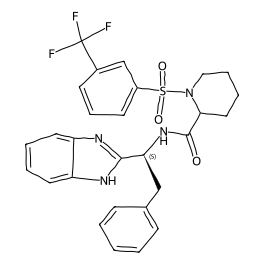 O=C(N[C@@H](Cc1ccccc1)c1nc2ccccc2[nH]1)C1CCCCN1S(=O)(=O)c1cccc(C(F)(F)F)c1